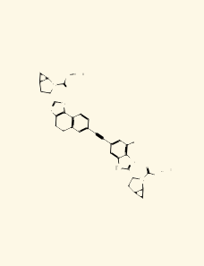 CC(C)(C)OC(=O)N1C2CC2C[C@H]1c1nc2c(F)cc(C#Cc3ccc4c(c3)CCc3nc([C@@H]5C[C@H]6C[C@H]6N5C(=O)OC(C)(C)C)[nH]c3-4)cc2[nH]1